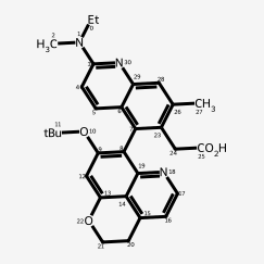 CCN(C)c1ccc2c(-c3c(OC(C)(C)C)cc4c5c(ccnc35)CCO4)c(CC(=O)O)c(C)cc2n1